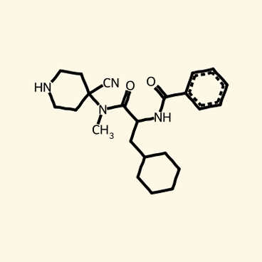 CN(C(=O)C(CC1CCCCC1)NC(=O)c1ccccc1)C1(C#N)CCNCC1